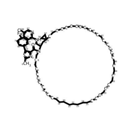 Cc1nc(C(=O)N2CCCCCCCCCCCCCCCCCCCCCCCCCCCCCCCCCCCCCCCCCCCCCCCCC3(CC3)CC2CNc2ccc(Cl)cn2)c(-c2ccc(F)cc2)s1